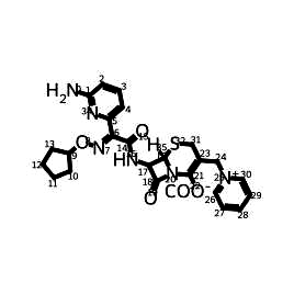 Nc1cccc(C(=NOC2CCCC2)C(=O)NC2C(=O)N3C(C(=O)[O-])=C(C[n+]4ccccc4)CS[C@@H]23)n1